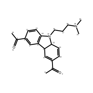 CC(=O)C1=CC2c3cc(C(C)=O)ccc3N(CCCN(C)C)C2C=C1